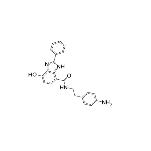 Nc1ccc(CCNC(=O)c2ccc(O)c3nc(-c4ccccc4)[nH]c23)cc1